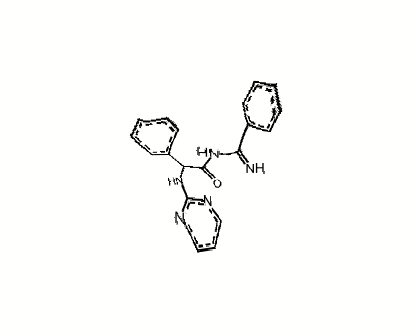 N=C(NC(=O)C(Nc1ncccn1)c1ccccc1)c1ccccc1